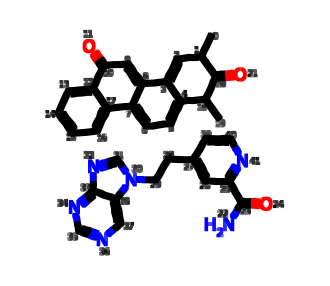 CC1C=c2c(ccc3c2=CC(=O)c2ccccc2-3)C(C)C1=O.NC(=O)c1cc(CCn2cnc3ncncc32)ccn1